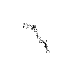 CN(C)CCNS(=O)(=O)c1ccc(COc2ccc(-c3cn(C(=O)NCC4CN(c5ccccc5)C4)cn3)cc2)cc1